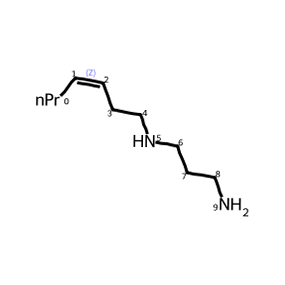 CCC/C=C\CCNCCCN